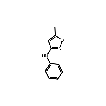 Cc1cc(Nc2ccccc2)no1